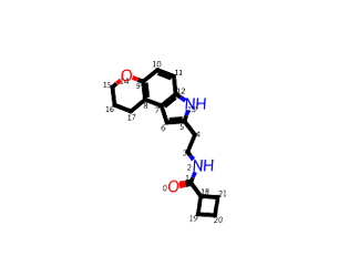 O=C(NCCc1cc2c3c(ccc2[nH]1)OCCC3)C1CCC1